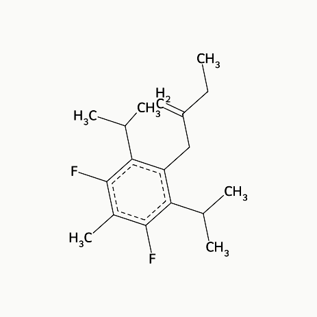 C=C(CC)Cc1c(C(C)C)c(F)c(C)c(F)c1C(C)C